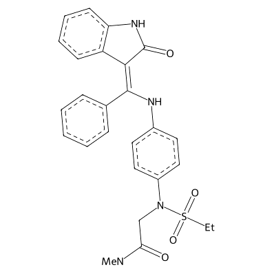 CCS(=O)(=O)N(CC(=O)NC)c1ccc(N/C(=C2\C(=O)Nc3ccccc32)c2ccccc2)cc1